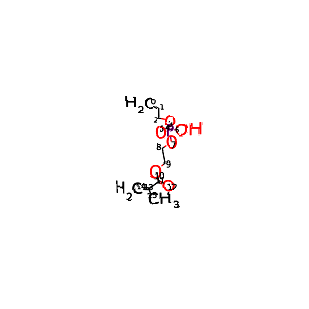 C=CCOP(=O)(O)OCCOC(=O)C(=C)C